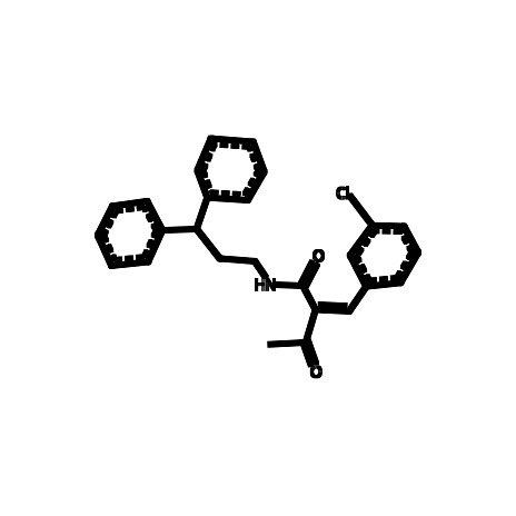 CC(=O)C(=Cc1cccc(Cl)c1)C(=O)NCCC(c1ccccc1)c1ccccc1